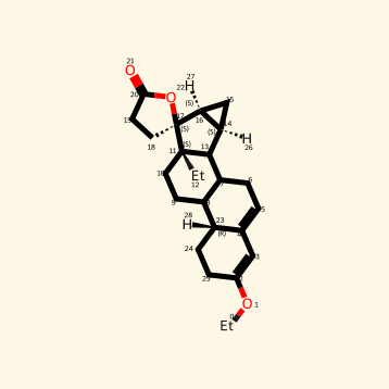 CCOC1=CC2=CCC3C(CC[C@@]4(CC)C3[C@@H]3C[C@@H]3[C@@]43CCC(=O)O3)[C@H]2CC1